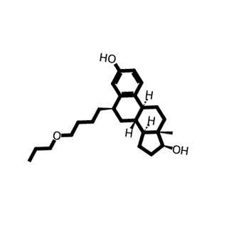 CCCOCCCC[C@@H]1C[C@@H]2[C@H](CC[C@]3(C)[C@@H](O)CC[C@@H]23)c2ccc(O)cc21